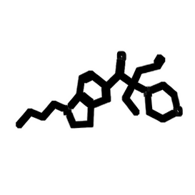 C=CCC(CC)(C(=O)c1ccc2c(c1)CCN2CCCC)N1CCOCC1